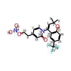 CC1(C)C=C(n2ccc(CCO[N+](=O)[O-])cc2=O)c2cc(C(F)(F)F)ccc2O1